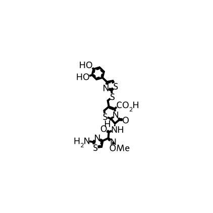 CON=C(C(=O)N[C@@H]1C(=O)N2C(C(=O)O)=C(CSc3nc(-c4ccc(O)c(O)c4)cs3)CS[C@@H]12)c1csc(N)n1